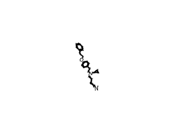 N#CCCCN(CCc1ccc(OCCc2ccccc2)cc1)C1CC1